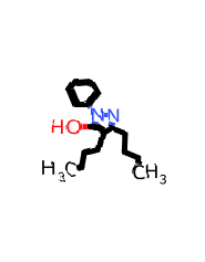 CCCCc1nn(-c2ccccc2)c(O)c1CCCC